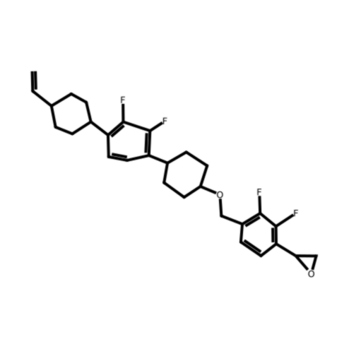 C=CC1CCC(c2ccc(C3CCC(OCc4ccc(C5CO5)c(F)c4F)CC3)c(F)c2F)CC1